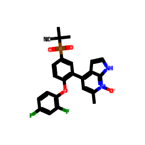 Cc1cc(-c2cc(S(=O)(=O)C(C)(C)C#N)ccc2Oc2ccc(F)cc2F)c2cc[nH]c2[n+]1[O-]